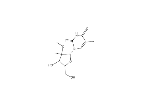 COC1(C)C(O)[C@@H](CO)O[C@H]1n1cc(C)c(=O)[nH]c1=S